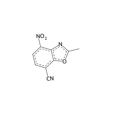 Cc1nc2c([N+](=O)[O-])ccc(C#N)c2o1